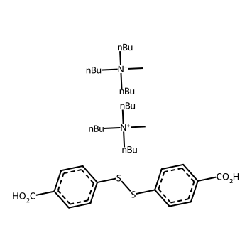 CCCC[N+](C)(CCCC)CCCC.CCCC[N+](C)(CCCC)CCCC.O=C(O)c1ccc(SSc2ccc(C(=O)O)cc2)cc1